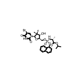 CC(C)OC(=O)[C@@H](C)N[P@](=O)(OC[C@H]1O[C@@H](n2cc(Br)c(=O)[nH]c2=O)[C@](C)(F)[C@@H]1O)Oc1cccc2ccccc12